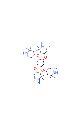 CC1(C)CC(OC2CC(OC3CC(C)(C)NC(C)(C)C3)C(OC3CC(C)(C)NC(C)(C)C3)CC2OC2CC(C)(C)NC(C)(C)C2)CC(C)(C)N1